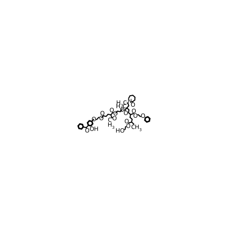 CCC(CCC(CCC(C)(CC(C)N1CCCCCC1=O)C(=O)OCCOC(=O)C(CCC(=O)OCCOc1ccc(C(=O)c2ccccc2)c(O)c1)C(C)=O)C(=O)OCCOc1ccccc1)C(=O)OCCO